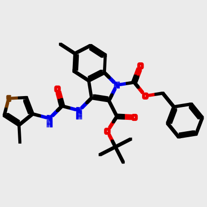 Cc1ccc2c(c1)c(NC(=O)Nc1cscc1C)c(C(=O)OC(C)(C)C)n2C(=O)OCc1ccccc1